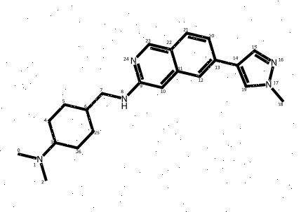 CN(C)C1CCC(CNc2cc3cc(-c4cnn(C)c4)ccc3cn2)CC1